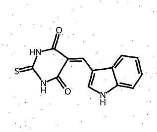 O=C1NC(=S)NC(=O)C1=Cc1c[nH]c2ccccc12